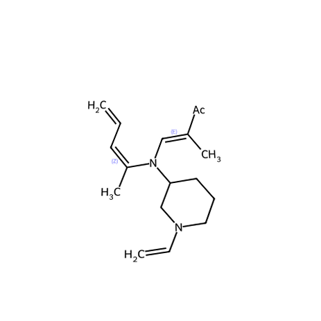 C=C/C=C(/C)N(/C=C(\C)C(C)=O)C1CCCN(C=C)C1